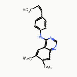 COc1cc2ncnc(Nc3ccc(/C=C\C(=O)O)cc3)c2cc1OC